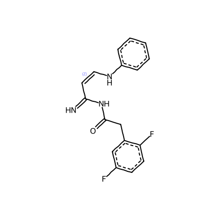 N=C(/C=C\Nc1ccccc1)NC(=O)Cc1cc(F)ccc1F